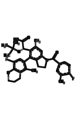 Cc1cc(C(=O)N2CCc3c2cc(C)c([C@H](OC(C)(C)C)C(=O)O)c3-c2cc(F)c3c(c2C)CCCO3)ccc1F